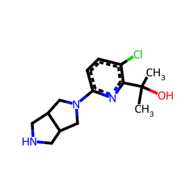 CC(C)(O)c1nc(N2CC3CNCC3C2)ccc1Cl